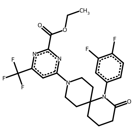 CCOC(=O)c1nc(N2CCC3(CCCC(=O)N3c3ccc(F)c(F)c3)CC2)cc(C(F)(F)F)n1